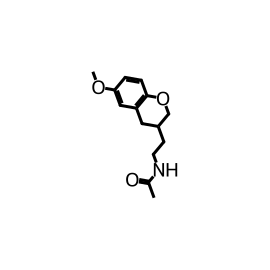 COc1ccc2c(c1)CC(CCNC(C)=O)CO2